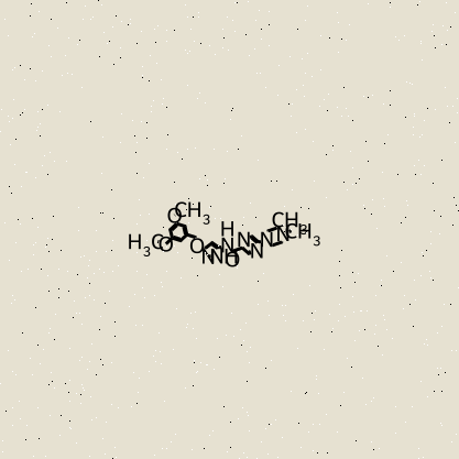 COc1cc(COc2cc(NC(=O)c3cnc(N4CCN(C)C(C)C4)cn3)[nH]n2)cc(OC)c1